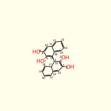 OC1=C(O)[C@H](c2c(O)c(O)cc3ccccc23)C2C=CC=CC2=C1